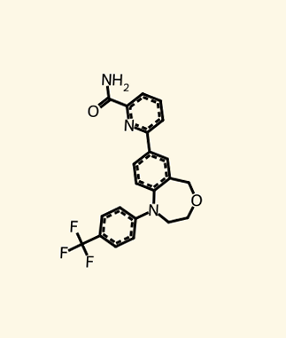 NC(=O)c1cccc(-c2ccc3c(c2)COCCN3c2ccc(C(F)(F)F)cc2)n1